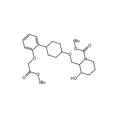 CC(C)(C)OC(=O)COc1ccccc1C1CCC(OCC2C(O)CCCN2C(=O)OC(C)(C)C)CC1